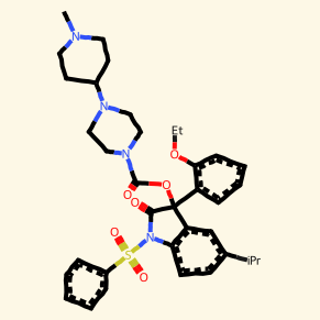 CCOc1ccccc1C1(OC(=O)N2CCN(C3CCN(C)CC3)CC2)C(=O)N(S(=O)(=O)c2ccccc2)c2ccc(C(C)C)cc21